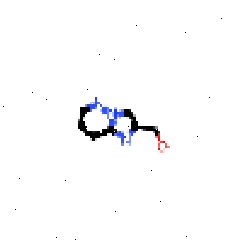 [O]Cc1cn2ncccc2n1